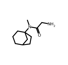 CN(C(=O)CN)C12CCCC(CC1)C2